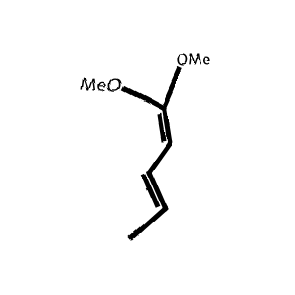 CC=CC=C(OC)OC